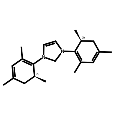 CC1=CC(C)=C(N2C=CN(C3=C(C)C=C(C)C[C@@H]3C)C2)[C@@H](C)C1